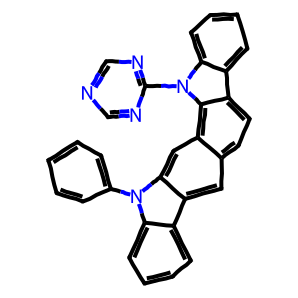 c1ccc(-n2c3ccccc3c3cc4ccc5c6ccccc6n(-c6ncncn6)c5c4cc32)cc1